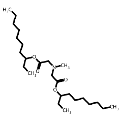 CCCCCCCC(CC)OC(=O)CN(C)CC(=O)OC(CC)CCCCCCC